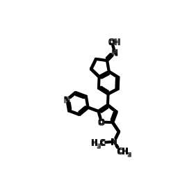 CN(C)Cc1cc(-c2ccc3c(c2)CCC3=NO)c(-c2ccncc2)o1